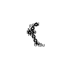 CC(C)(C)OC(=O)N1CCC(N2CCC(n3c(=O)n(-c4ccc(Oc5ccncc5)c(F)c4)c4c(N)ncnc43)CC2)CC1